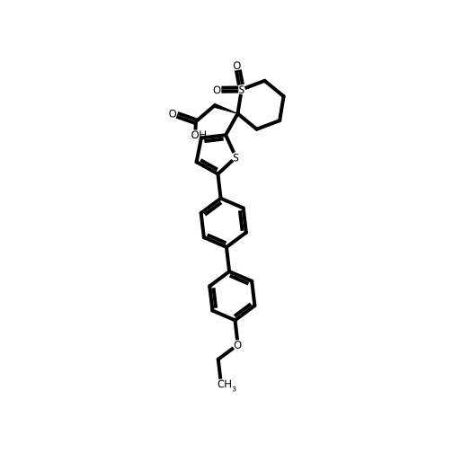 CCOc1ccc(-c2ccc(-c3ccc([C@@]4(CC(=O)O)CCCCS4(=O)=O)s3)cc2)cc1